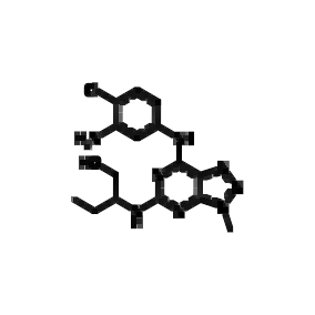 CCC(CO)Nc1nc(Nc2ccc(Cl)c(N)c2)c2nnn(C)c2n1